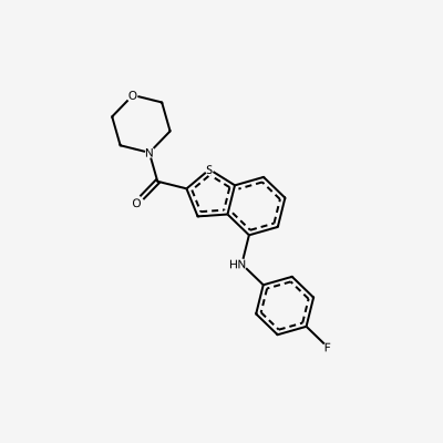 O=C(c1cc2c(Nc3ccc(F)cc3)cccc2s1)N1CCOCC1